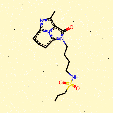 CCCS(=O)(=O)NCCCCn1c(=O)c2c(C)nc3cccc1n32